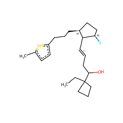 CCC1(C(O)C/C=C/C2[C@@H](CCCc3ccc(C)s3)CC[C@H]2F)CCC1